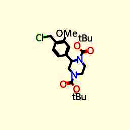 COc1cc(C2CN(C(=O)OC(C)(C)C)CCN2C(=O)OC(C)(C)C)ccc1CCl